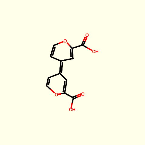 O=C(O)C1=CC(=C2C=COC(C(=O)O)=C2)C=CO1